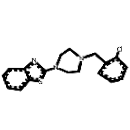 Clc1ccccc1CN1CCN(c2nc3ccccc3s2)CC1